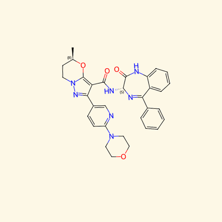 C[C@@H]1CCn2nc(-c3ccc(N4CCOCC4)nc3)c(C(=O)N[C@H]3N=C(c4ccccc4)c4ccccc4NC3=O)c2O1